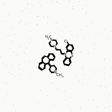 CN1CCC(=C2c3ccccc3C=Cc3ccccc32)CC1.CN1CCN(CCCN2c3ccccc3Sc3ccc(Cl)cc32)CC1